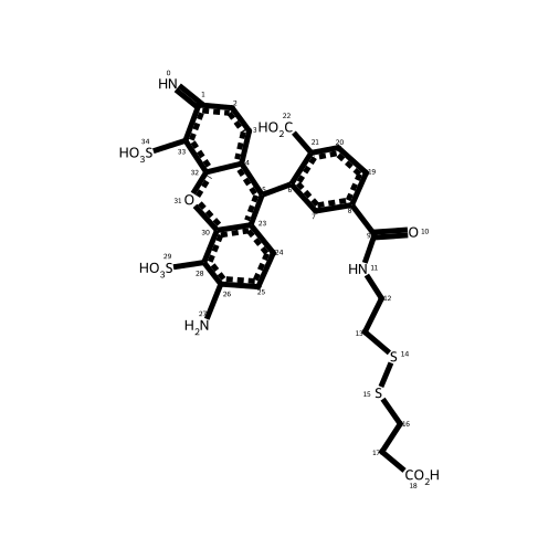 N=c1ccc2c(-c3cc(C(=O)NCCSSCCC(=O)O)ccc3C(=O)O)c3ccc(N)c(S(=O)(=O)O)c3oc-2c1S(=O)(=O)O